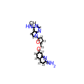 CNc1ncnc2c1ccn2C1CCC(COc2ccc3ccc(N)nc3c2)O1